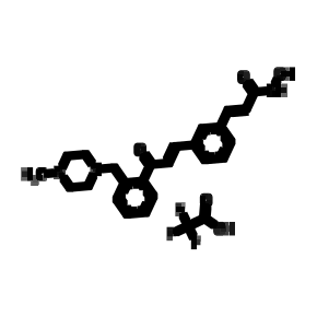 CN1CCN(Cc2ccccc2C(=O)/C=C/c2cccc(/C=C/C(=O)NO)c2)CC1.O=C(O)C(F)(F)F